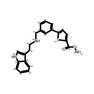 NOC(=O)c1ccc(-c2cccc(CNCCc3c[nH]c4ccccc34)c2)s1